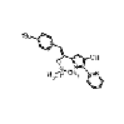 C[SiH](C)OC(=Cc1ccc(C(C)(C)C)cc1)c1cc(O)n(-c2ccccn2)n1